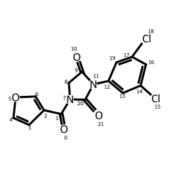 O=C(c1ccoc1)N1CC(=O)N(c2cc(Cl)cc(Cl)c2)C1=O